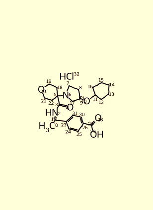 C[C@H](NC(=O)C1(N2CC[C@@H](OC3CCCCC3)C2)CCOCC1)c1ccc(C(=O)O)cc1.Cl